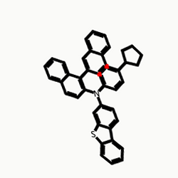 c1ccc2cc(-c3c(N(c4ccc(C5CCCC5)cc4)c4ccc5c(c4)sc4ccccc45)ccc4ccccc34)ccc2c1